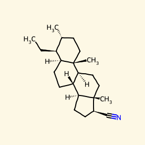 CC[C@H]1[C@H](C)CC[C@]2(C)[C@H]3CC[C@]4(C)[C@@H](C#N)CC[C@H]4[C@@H]3CC[C@@H]12